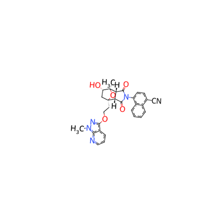 Cn1nc(OCC[C@]23C[C@H](O)[C@](C)(O2)[C@@H]2C(=O)N(c4ccc(C#N)c5ccccc45)C(=O)[C@@H]23)c2cccnc21